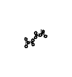 c1ccc(-c2cc(-n3c4ccccc4c4cc(-c5ccc6c(c5)c5ccccc5n6-c5ccc6c(c5)c5ncccc5n6-c5ccccc5)ccc43)cc(-c3ccccc3)n2)cc1